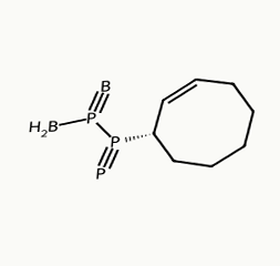 B#P(B)P(#P)[C@@H]1/C=C\CCCCC1